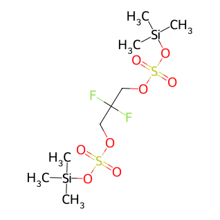 C[Si](C)(C)OS(=O)(=O)OCC(F)(F)COS(=O)(=O)O[Si](C)(C)C